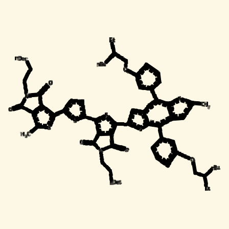 CCCCCCCCCCCCN1C(=O)c2c(C)sc(-c3ccc(-c4sc(-c5cc6c(-c7cccc(OCC(CC)CCCC)c7)c7sc(C)cc7c(-c7cccc(OCC(CC)CCCC)c7)c6s5)c5c4C(=O)N(CCCCCCCCCCCC)C5=O)s3)c2C1=O